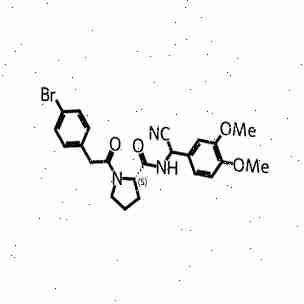 COc1ccc(C(C#N)NC(=O)[C@@H]2CCCN2C(=O)Cc2ccc(Br)cc2)cc1OC